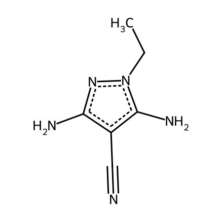 CCn1nc(N)c(C#N)c1N